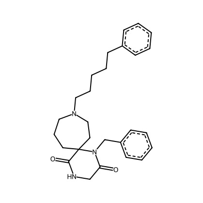 O=C1CNC(=O)C2(CCCN(CCCCCc3ccccc3)CC2)N1Cc1ccccc1